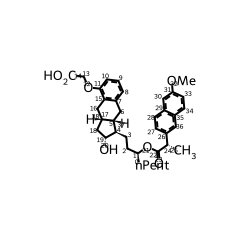 CCCCC[C@@H](CC[C@@H]1[C@H]2Cc3cccc(OCC(=O)O)c3C[C@H]2C[C@H]1O)OC(=O)[C@@H](C)c1ccc2cc(OC)ccc2c1